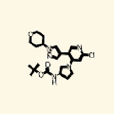 CC(C)(C)OC(=O)N[C@H]1CCN(c2cc(Cl)ncc2-c2cnn(C3CCOCC3)c2)C1